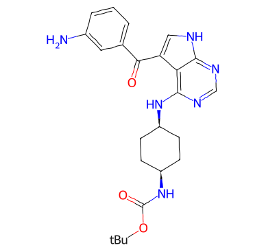 CC(C)(C)OC(=O)N[C@H]1CC[C@@H](Nc2ncnc3[nH]cc(C(=O)c4cccc(N)c4)c23)CC1